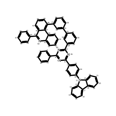 c1ccc(-c2nc(-c3ccc(-n4c5ccccc5c5ccccc54)cc3)nc(-c3cccc(-c4cccc(-c5cccc6c(-c7ccccc7)nc7ccccc7c56)c4)c3)n2)cc1